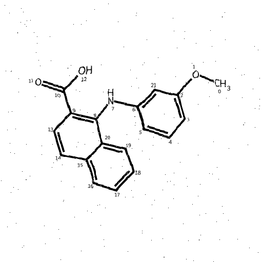 COc1cccc(Nc2c(C(=O)O)ccc3ccccc23)c1